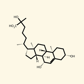 C[C@H](CCCC(C)(O)C(=O)O)[C@H]1CC[C@H]2[C@@H]3[C@@H](O)C=C4C[C@@H](O)CC[C@]4(C)[C@H]3CC[C@]12C